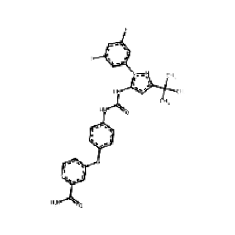 CC(C)(C)c1cc(NC(=O)Nc2ccc(Oc3ccnc(C(N)=O)c3)cc2)n(-c2cc(F)cc(F)c2)n1